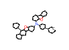 c1ccc(-c2ccc(N(c3ccc4c(c3)oc3c(-c5ccccc5)c5ccccc5cc34)c3cccc4c3oc3ccccc34)cc2)cc1